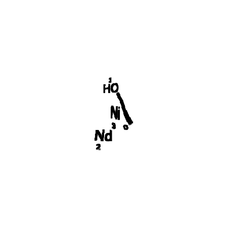 CO.[Nd].[Ni]